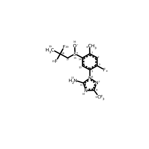 Cc1cc(F)c(-n2nc(C(F)(F)F)nc2N)cc1[S+]([O-])CC(C)(F)F